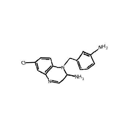 Nc1cccc(CN2c3ccc(Cl)cc3N=CC2N)c1